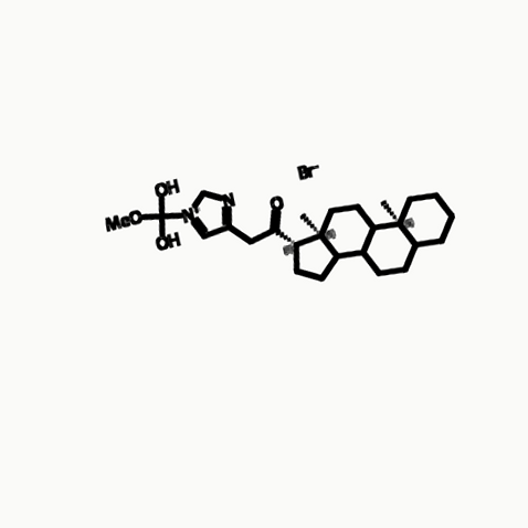 COC(O)(O)[N+]1=CC(CC(=O)[C@H]2CCC3C4CCC5CCCC[C@]5(C)C4CC[C@@]32C)=NC1.[Br-]